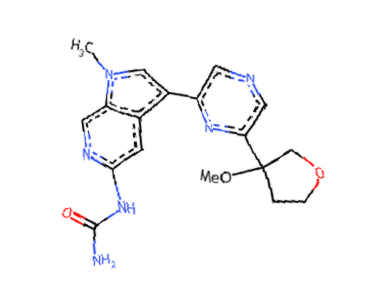 COC1(c2cncc(-c3cn(C)c4cnc(NC(N)=O)cc34)n2)CCOC1